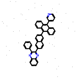 c1ccc(-c2nc3ccccc3nc2-c2ccc3cc(-c4c5ccccc5c(-c5cccnc5)c5ccccc45)ccc3c2)cc1